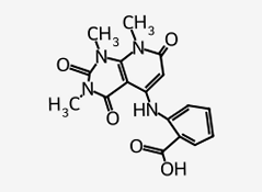 Cn1c(=O)c2c(Nc3ccccc3C(=O)O)cc(=O)n(C)c2n(C)c1=O